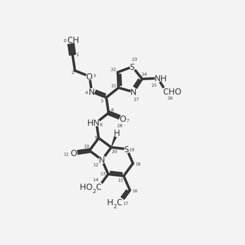 C#CCON=C(C(=O)NC1C(=O)N2C(C(=O)O)=C(C=C)CS[C@@H]12)c1csc(NC=O)n1